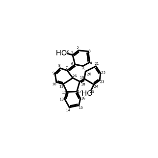 OC1=CC=CCC1=C1C=CC=C2c3ccccc3C(=C3CC=CC=C3O)C21